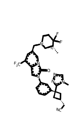 C[C@@H]1CN(Cc2cc(C(F)(F)F)c3cn(-c4cccc([C@]5(c6nncn6C)C[C@@H](CC#N)C5)c4)c(=O)n3c2)CCC1(F)F